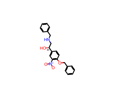 O=[N+]([O-])c1cc([C@@H](O)CNCc2ccccc2)ccc1OCc1ccccc1